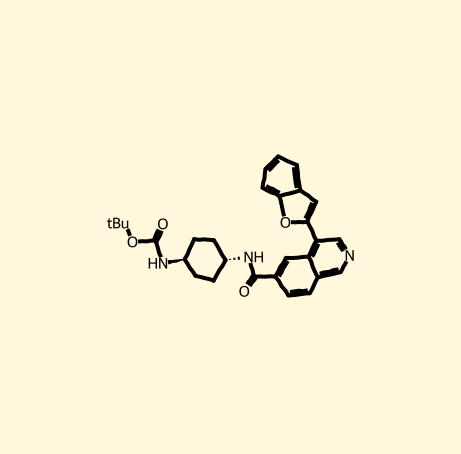 CC(C)(C)OC(=O)N[C@H]1CC[C@H](NC(=O)c2ccc3cncc(-c4cc5ccccc5o4)c3c2)CC1